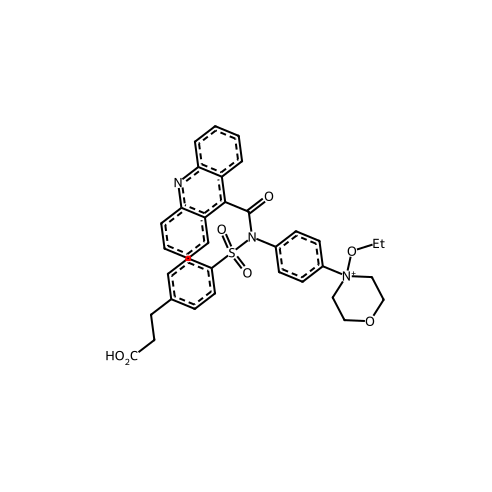 CCO[N+]1(c2ccc(N(C(=O)c3c4ccccc4nc4ccccc34)S(=O)(=O)c3ccc(CCC(=O)O)cc3)cc2)CCOCC1